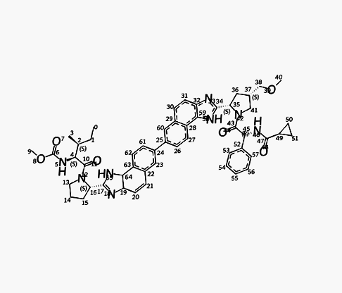 CC[C@H](C)[C@H](NC(=O)OC)C(=O)N1CCC[C@H]1C1=NC2C=Cc3cc(-c4ccc5c(ccc6nc([C@@H]7C[C@H](COC)CN7C(=O)[C@H](NC(=O)C7CC7)c7ccccc7)[nH]c65)c4)ccc3C2N1